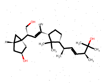 CCC/C(=C\[C@@H](CO)[C@@]12C[C@@H](O)C[C@@H]1C2)[C@@H]1CC[C@H]([C@H](C)/C=C/[C@H](C)C(C)(C)O)C1(C)C